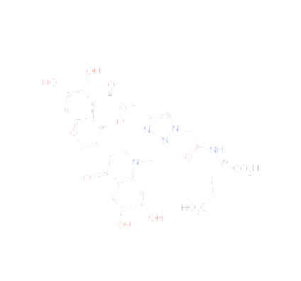 Cn1cc(-c2coc3cc(O)c(O)c(C(=O)OCc4cn(CC(=O)N[C@@H](CCC(=O)O)C(=O)O)nn4)c3c2=O)c(=O)c2cc(O)c(O)cc21